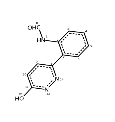 O=CNc1ccccc1-c1ccc(O)nn1